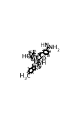 Cc1ccc2sc(S(=O)(=O)N[C@H]3CCN(Cc4cccc(C(=N)N)c4)C3=O)cc2c1.O=C(O)C(F)(F)F